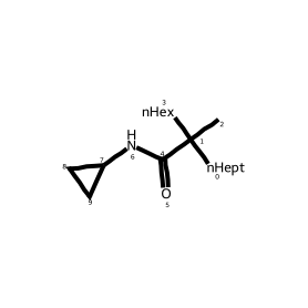 CCCCCCCC(C)(CCCCCC)C(=O)NC1CC1